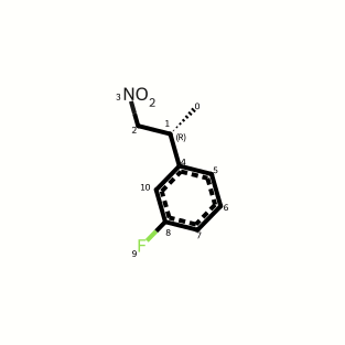 C[C@@H](C[N+](=O)[O-])c1cccc(F)c1